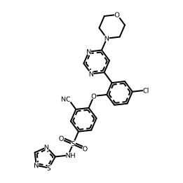 N#Cc1cc(S(=O)(=O)Nc2ncns2)ccc1Oc1ccc(Cl)cc1-c1cc(N2CCOCC2)ncn1